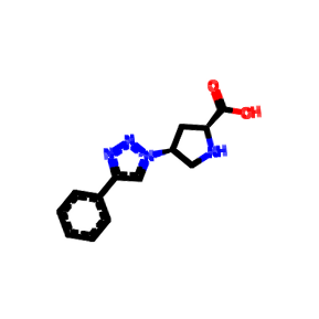 O=C(O)[C@@H]1C[C@H](n2cc(-c3ccccc3)nn2)CN1